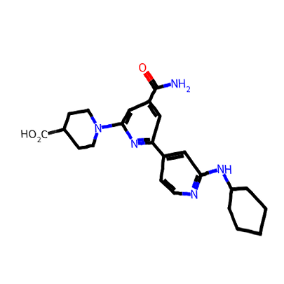 NC(=O)c1cc(-c2ccnc(NC3CCCCC3)c2)nc(N2CCC(C(=O)O)CC2)c1